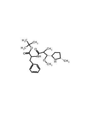 COC(C(C)C(=O)NC(Cc1ccccc1)C(=O)OC(C)(C)C)[C@@H]1CC[C@H](C)N1